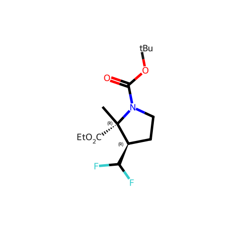 CCOC(=O)[C@@]1(C)[C@H](C(F)F)CCN1C(=O)OC(C)(C)C